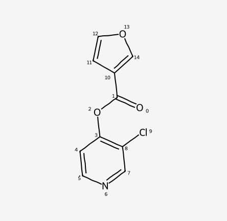 O=C(Oc1c[c]ncc1Cl)c1ccoc1